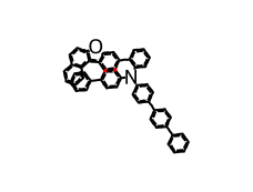 c1ccc(-c2ccc(-c3ccc(N(c4ccc(-c5ccccc5)cc4)c4ccccc4-c4ccc5c(c4)oc4ccc6ccccc6c45)cc3)cc2)cc1